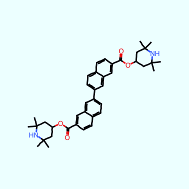 CC1(C)CC(OC(=O)c2ccc3ccc(-c4ccc5ccc(C(=O)OC6CC(C)(C)NC(C)(C)C6)cc5c4)cc3c2)CC(C)(C)N1